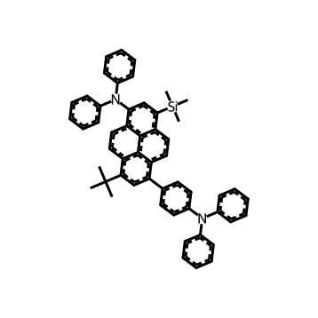 CC(C)(C)c1cc(-c2ccc(N(c3ccccc3)c3ccccc3)cc2)c2ccc3c([Si](C)(C)C)cc(N(c4ccccc4)c4ccccc4)c4ccc1c2c43